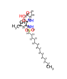 CCCCCCCCCCCCCCCS(=O)(=O)NC(CC(C)C)C(=O)N[C@H]1CCOC1O